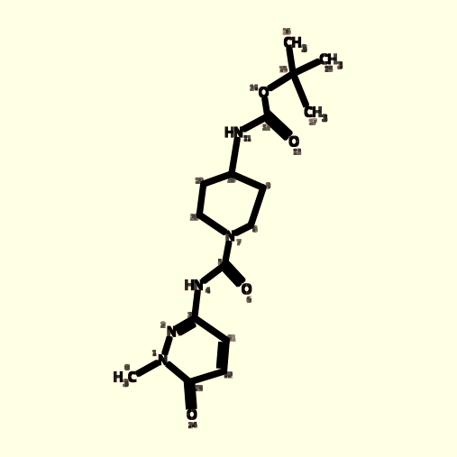 Cn1nc(NC(=O)N2CCC(NC(=O)OC(C)(C)C)CC2)ccc1=O